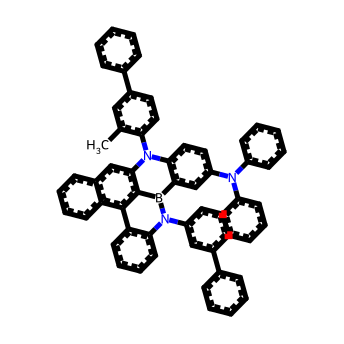 Cc1cc(-c2ccccc2)ccc1N1c2ccc(N(c3ccccc3)c3ccccc3)cc2B2c3c1cc1ccccc1c3-c1ccccc1N2c1cccc(-c2ccccc2)c1